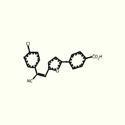 N#C/C(=C/c1ccc(-c2ccc(C(=O)O)cc2)o1)c1ccc(Cl)cc1